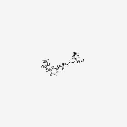 CCO[Si](CCCNC(=O)Oc1cccc(OC(=O)OC(C)(C)C)c1)(OCC)OCC